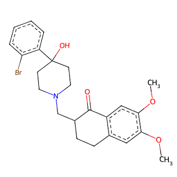 COc1cc2c(cc1OC)C(=O)C(CN1CCC(O)(c3ccccc3Br)CC1)CC2